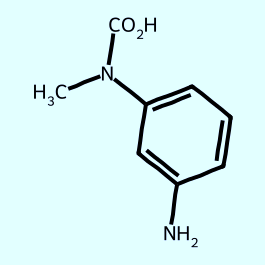 CN(C(=O)O)c1cccc(N)c1